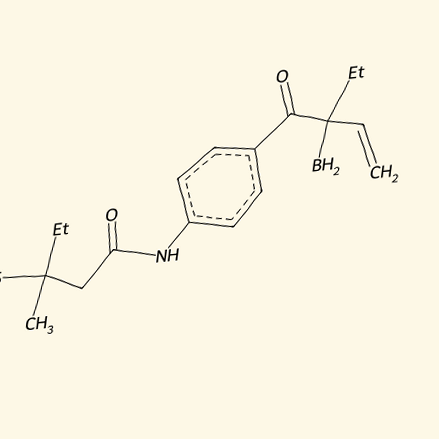 BC(C=C)(CC)C(=O)c1ccc(NC(=O)CC(C)(S)CC)cc1